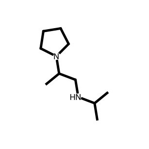 CC(C)NCC(C)N1CCCC1